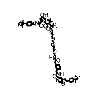 COc1cnc(C(=O)NCc2cccc(CC(=O)NCCOCCOCCOCCOCC(=O)NC(C(=O)N3CC(O)CC3C(=O)NCc3ccc(-c4scnc4C)cc3)C(C)(C)C)c2)cc1C=CC1CCC(C(F)(F)F)CC1